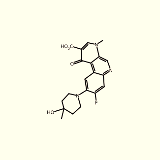 Cn1cc(C(=O)O)c(=O)c2c3cc(N4CCC(C)(O)CC4)c(F)cc3ncc21